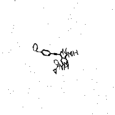 CNc1ncc(C#Cc2ccc(COC)cc2)c2cc(NC(=O)C3CC3)ncc12